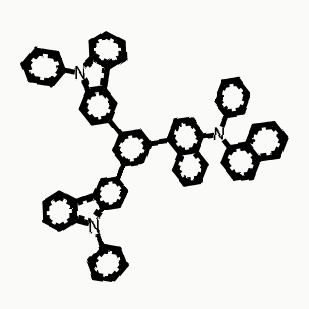 c1ccc(N(c2cccc3ccccc23)c2ccc(-c3cc(-c4ccc5c(c4)c4ccccc4n5-c4ccccc4)cc(-c4ccc5c(c4)c4ccccc4n5-c4ccccc4)c3)c3ccccc23)cc1